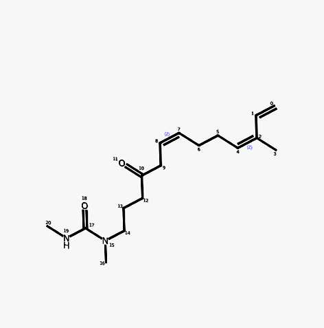 C=C/C(C)=C\CC/C=C\CC(=O)CCCN(C)C(=O)NC